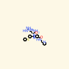 N=C(N)NCCC[C@@H](C(N)=O)n1c(-c2cccc(Sc3ccccc3)c2)nc2cc(C(=O)NCCc3ccccn3)ccc21